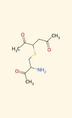 CC(=O)CC(SCC(N)C(C)=O)C(C)=O